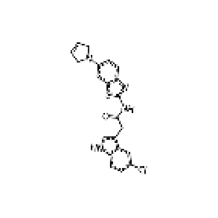 O=C(Cc1c[nH]c2ccc(Cl)cc12)Nc1nc2ccc(N3CC=CC3)cc2s1